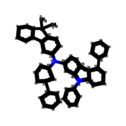 CC1(C)c2ccccc2-c2cc(N(c3cccc(-c4ccccc4)c3)c3ccc4c5c(-c6ccccc6)cccc5n(-c5ccccc5)c4c3)ccc21